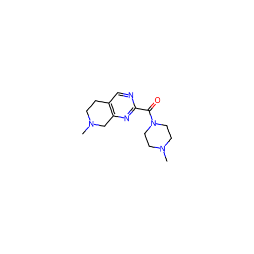 CN1CCN(C(=O)c2ncc3c(n2)CN(C)CC3)CC1